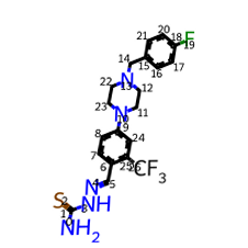 NC(=S)NN=Cc1ccc(N2CCN(Cc3ccc(F)cc3)CC2)cc1C(F)(F)F